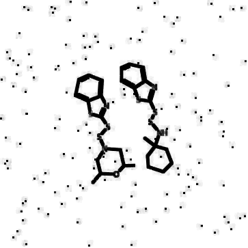 CC1(NSSc2nc3ccccc3s2)CCCCC1.CC1CN(SSc2nc3ccccc3s2)CC(C)O1